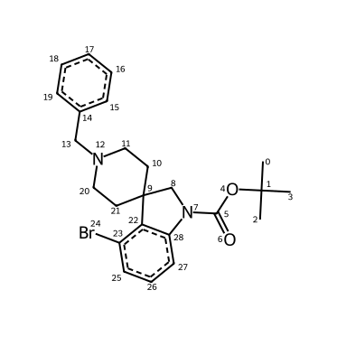 CC(C)(C)OC(=O)N1CC2(CCN(Cc3ccccc3)CC2)c2c(Br)cccc21